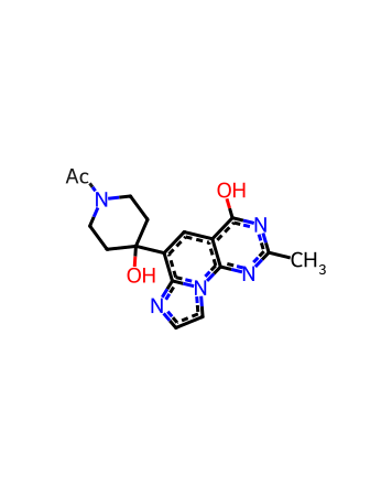 CC(=O)N1CCC(O)(c2cc3c(O)nc(C)nc3n3ccnc23)CC1